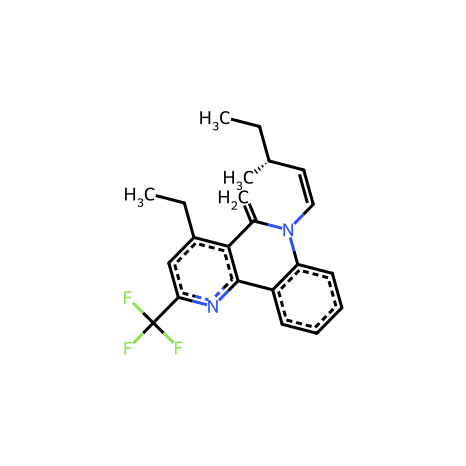 C=C1c2c(CC)cc(C(F)(F)F)nc2-c2ccccc2N1/C=C\[C@H](C)CC